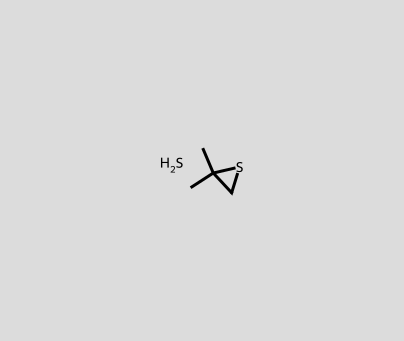 CC1(C)CS1.S